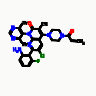 C=CC(=O)N1CCN(c2c(C#N)c(=O)n(-c3c(C(C)C)ncnc3C(C)C)c3nc(-c4c(N)cccc4F)c(Cl)cc23)CC1